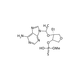 CC[C@]1(OC(C)n2cnc3c(N)ncnc32)COCC1OP(O)(=S)OC